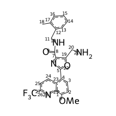 COc1ccc(-c2nc(C(=O)NCc3ccccc3C)c(CN)o2)c2ccc(C(F)(F)F)nc12